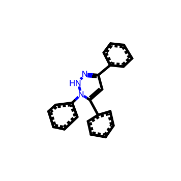 C1=C(c2ccccc2)N(c2ccccc2)NN=C1c1ccccc1